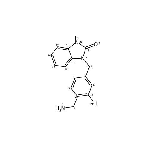 NCc1ccc(Cn2c(=O)[nH]c3ccccc32)cc1Cl